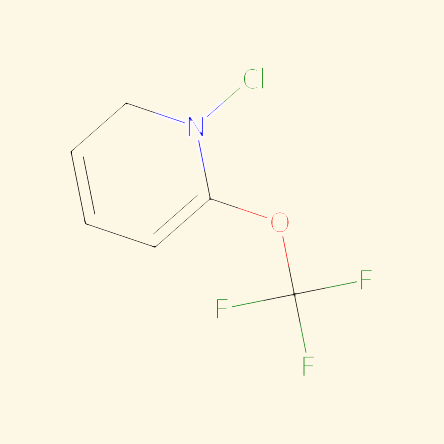 FC(F)(F)OC1=CC=CCN1Cl